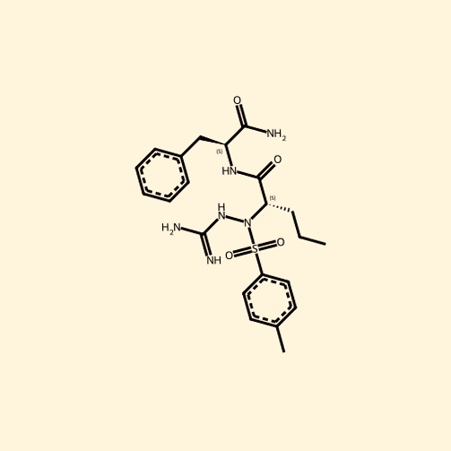 CCC[C@@H](C(=O)N[C@@H](Cc1ccccc1)C(N)=O)N(NC(=N)N)S(=O)(=O)c1ccc(C)cc1